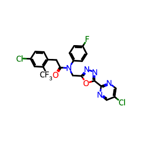 O=C(Cc1ccc(Cl)cc1C(F)(F)F)N(Cc1nnc(-c2ncc(Cl)cn2)o1)c1ccc(F)cc1